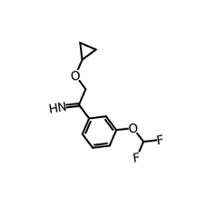 N=C(COC1CC1)c1cccc(OC(F)F)c1